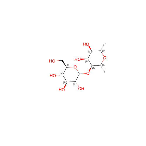 C[C@@H]1O[C@H](C)[C@@H](OC2O[C@H](CO)[C@@H](O)[C@H](O)[C@H]2O)[C@@H](O)[C@H]1O